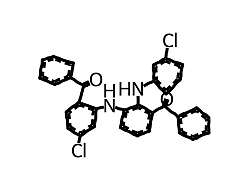 O=C(c1ccccc1)c1ccc(Cl)cc1Nc1cccc(C(=O)c2ccccc2)c1Nc1cccc(Cl)c1